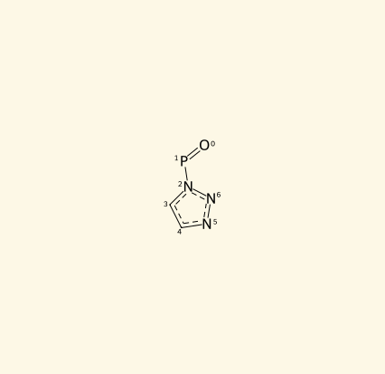 O=Pn1ccnn1